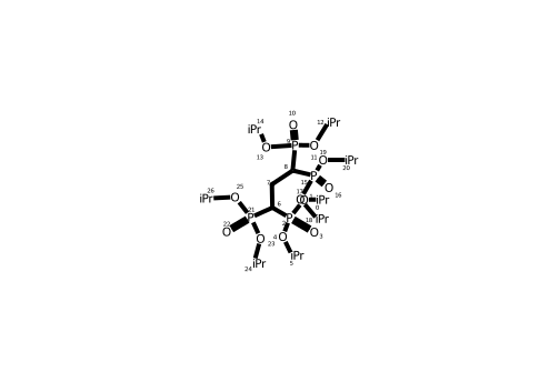 CC(C)OP(=O)(OC(C)C)C(CC(P(=O)(OC(C)C)OC(C)C)P(=O)(OC(C)C)OC(C)C)P(=O)(OC(C)C)OC(C)C